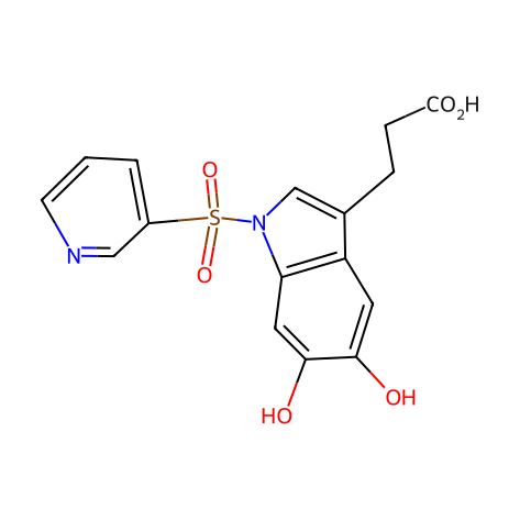 O=C(O)CCc1cn(S(=O)(=O)c2cccnc2)c2cc(O)c(O)cc12